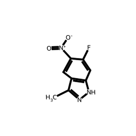 Cc1n[nH]c2cc(F)c([N+](=O)[O-])cc12